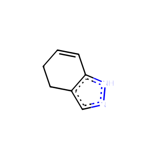 [C]1=Cc2[nH]ncc2CC1